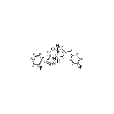 Fc1ccc(CN2C[C@@H]3[C@@H](C2)OCc2c(-c4ccncc4F)nnn23)cc1